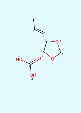 C1COCO1.C=CC.O=C(O)O